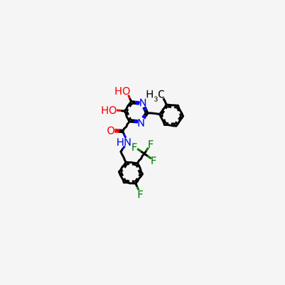 Cc1ccccc1-c1nc(O)c(O)c(C(=O)NCc2ccc(F)cc2C(F)(F)F)n1